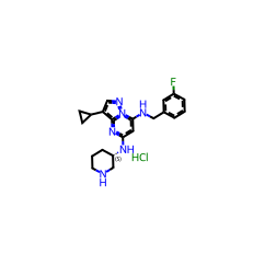 Cl.Fc1cccc(CNc2cc(N[C@H]3CCCNC3)nc3c(C4CC4)cnn23)c1